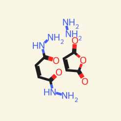 NN.NNC(=O)/C=C\C(=O)NN.O=C1C=CC(=O)O1